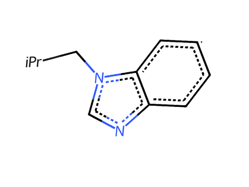 CC(C)Cn1cnc2cc[c]cc21